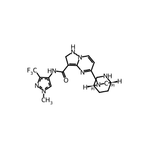 Cn1cc(NC(=O)C2=C3N=C(N4C[C@H]5CC[C@@H]4CN5)C=CN3NC2)c(C(F)(F)F)n1